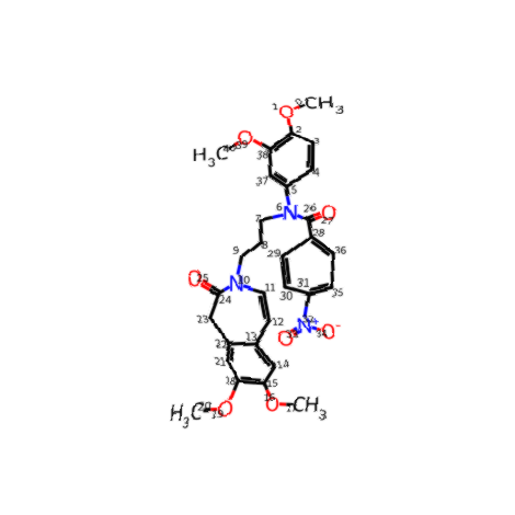 COc1ccc(N(CCCN2C=Cc3cc(OC)c(OC)cc3CC2=O)C(=O)c2ccc([N+](=O)[O-])cc2)cc1OC